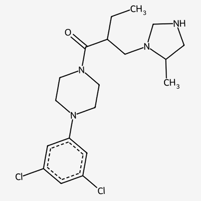 CCC(CN1CNCC1C)C(=O)N1CCN(c2cc(Cl)cc(Cl)c2)CC1